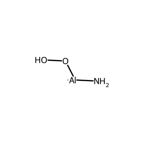 [NH2][Al][O]O